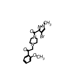 COc1ccccc1C(=O)CN1CCN(C(=O)c2nn(C)cc2Br)CC1